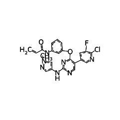 C=CC(=O)Nc1cccc(Oc2nc(Nc3cnn(C)c3)ncc2-c2cnc(Cl)c(F)c2)c1